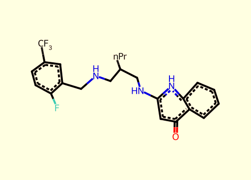 CCCC(CNCc1cc(C(F)(F)F)ccc1F)CNc1cc(=O)c2ccccc2[nH]1